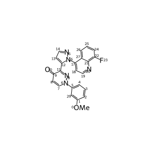 COc1cccc(-n2ccc(=O)c(-c3ccnn3-c3ccnc4c(F)cccc34)n2)c1